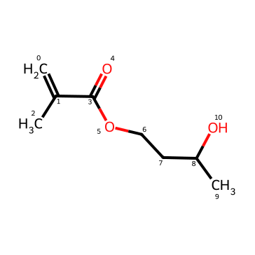 C=C(C)C(=O)OCCC(C)O